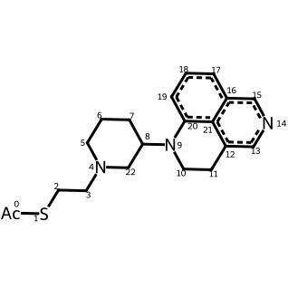 CC(=O)SCCN1CCCC(N2CCc3cncc4cccc2c34)C1